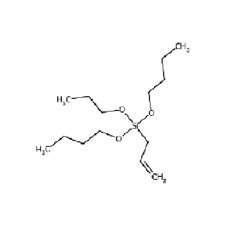 C=CC[Si](OCCC)(OCCCC)OCCCC